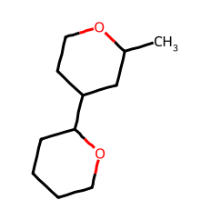 CC1CC(C2CCCCO2)CCO1